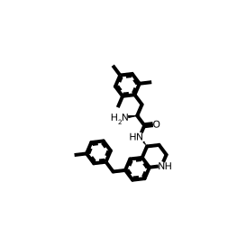 Cc1cccc(Cc2ccc3c(c2)[C@H](NC(=O)[C@@H](N)Cc2c(C)cc(C)cc2C)CCN3)c1